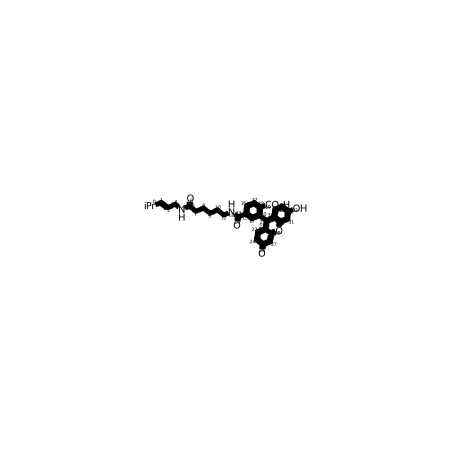 CC(C)/C=C/CNC(=O)CCCCCNC(=O)c1ccc(C(=O)O)c(-c2c3ccc(=O)cc-3oc3cc(O)ccc23)c1